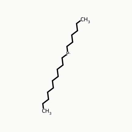 CCCCCCCCCC[P]CCCCCC